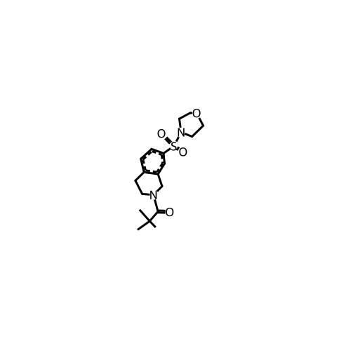 CC(C)(C)C(=O)N1CCc2ccc(S(=O)(=O)N3CCOCC3)cc2C1